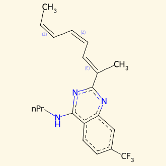 C\C=C/C=C\C=C(/C)c1nc(NCCC)c2ccc(C(F)(F)F)cc2n1